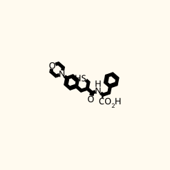 O=C(N[C@@H](Cc1ccccc1)C(=O)O)C(CS)Cc1ccc(N2CCOCC2)cc1